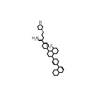 CC1CCCC2C(C3C=CC(C4C=CCC5CCCCC54)CC3)CCC(C3CC=C(/C(=C/N)CCC[C@H]4CCNC4)CC3)C12